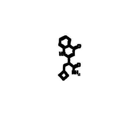 NC(=O)C(CC1CCC1)c1cc(=O)c2ccccc2[nH]1